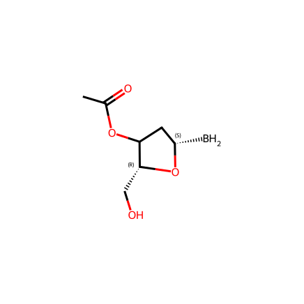 B[C@H]1CC(OC(C)=O)[C@@H](CO)O1